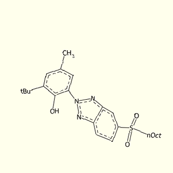 CCCCCCCCS(=O)(=O)c1ccc2nn(-c3cc(C)cc(C(C)(C)C)c3O)nc2c1